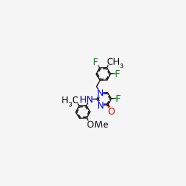 COc1ccc(C)c(Nc2nc(=O)c(F)cn2Cc2cc(F)c(C)c(F)c2)c1